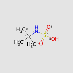 CC(C)(C)NS(=O)(=O)O